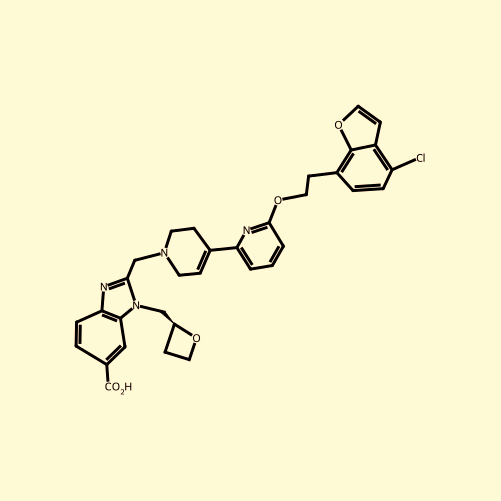 O=C(O)c1ccc2nc(CN3CC=C(c4cccc(OCCc5ccc(Cl)c6ccoc56)n4)CC3)n(C[C@@H]3CCO3)c2c1